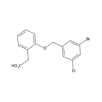 O=C(O)Cc1ccccc1OCc1cc(Cl)cc(Br)c1